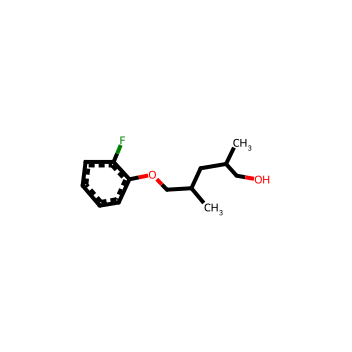 CC(CO)CC(C)COc1ccccc1F